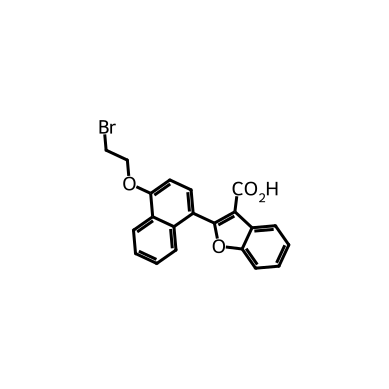 O=C(O)c1c(-c2ccc(OCCBr)c3ccccc23)oc2ccccc12